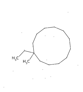 C[CH]C1(C)CCCCCCCCCCC1